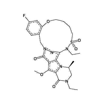 CCN1C[C@H](C)n2c(c(OC)c3c(=O)n4nc(c32)N(CC)S(=O)(=O)CCCCOc2cc(F)ccc2C4)C1=O